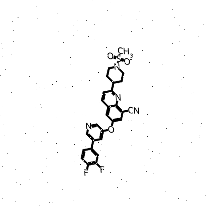 CS(=O)(=O)N1CCC(c2ccc3cc(Oc4cncc(-c5ccc(F)c(F)c5)c4)cc(C#N)c3n2)CC1